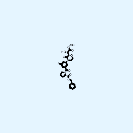 CC(C)(C)OC(=O)[C@H](O)[C@H]1OCCN(c2cc(F)cc(C(=O)N3CCC[C@H]3C(=O)OCc3ccccc3)c2)C1=O